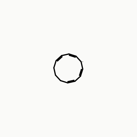 [CH]1C=CC=CCCCC=CC=C1